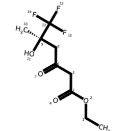 CCOC(=O)CC(=O)C[C@@](C)(O)C(F)(F)F